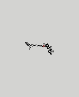 [N-]=[N+]=NCC(O)COCCOCCOCCC(=O)Nc1cccc2c1CN(C1CCC(=O)NC1=O)C2=O